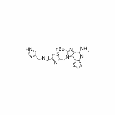 CCCCc1nc2c(N)nc3ccsc3c2n1Cc1nc(CNCc2cc[nH]c2)cs1